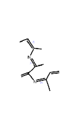 C=C/C(C)=N\C(=C)/C(C)=N/C(C)=C\C